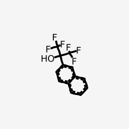 OC(c1ccc2ccccc2c1)(C(F)(F)F)C(F)(F)F